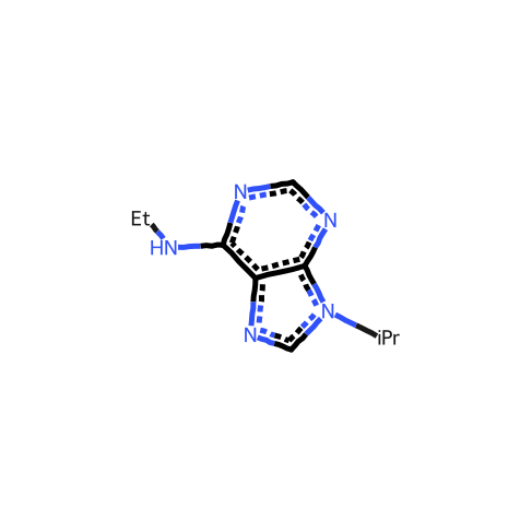 CCNc1ncnc2c1ncn2C(C)C